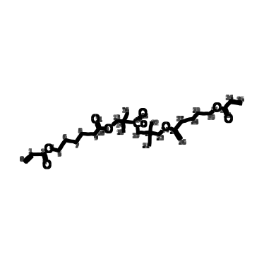 C=CC(=O)OCCCCCC(=O)OC[C](C)(C)[Co](=[O])[CH2]C(C)(C)COC(=C)CCCCOC(=O)C=C